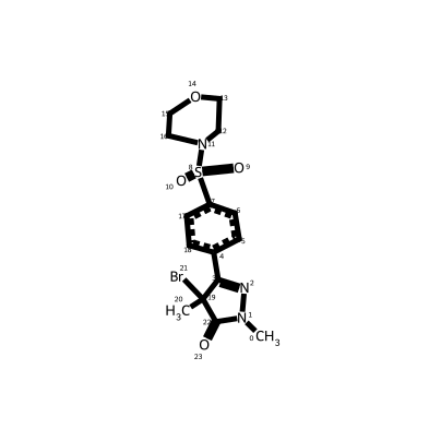 CN1N=C(c2ccc(S(=O)(=O)N3CCOCC3)cc2)C(C)(Br)C1=O